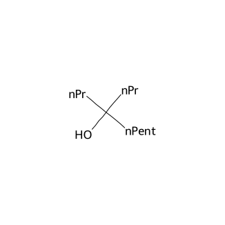 [CH2]CCCCC(O)(CCC)CCC